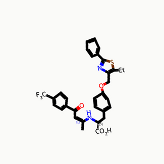 CCc1sc(-c2ccccc2)nc1COc1ccc(C[C@H](N/C(C)=C\C(=O)c2ccc(C(F)(F)F)cc2)C(=O)O)cc1